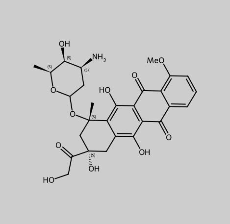 COc1cccc2c1C(=O)c1c(O)c3c(c(O)c1C2=O)C[C@@](O)(C(=O)CO)C[C@]3(C)OC1C[C@H](N)[C@H](O)[C@H](C)O1